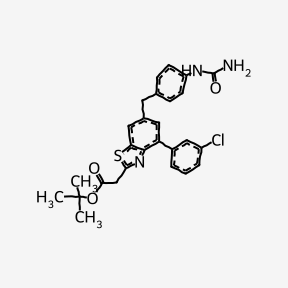 CC(C)(C)OC(=O)Cc1nc2c(-c3cccc(Cl)c3)cc(Cc3ccc(NC(N)=O)cc3)cc2s1